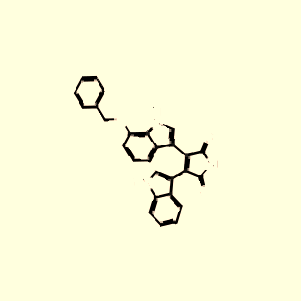 O=C1NC(=O)C(c2c[nH]c3c(OCc4ccccc4)cccc23)=C1c1c[nH]c2ccccc12